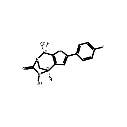 O=C(O)[C@@H]1c2sc(-c3ccc(F)cc3)cc2[C@@H]2CN1C(=O)N2O